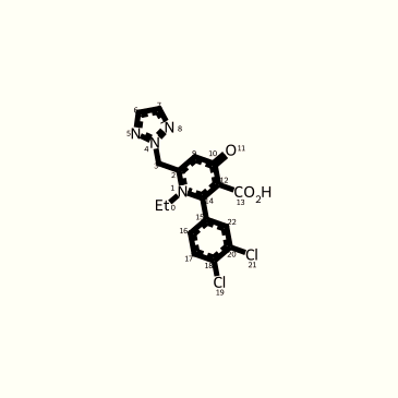 CCn1c(Cn2nccn2)cc(=O)c(C(=O)O)c1-c1ccc(Cl)c(Cl)c1